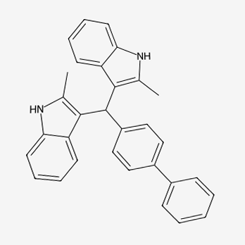 Cc1[nH]c2ccccc2c1C(c1ccc(-c2ccccc2)cc1)c1c(C)[nH]c2ccccc12